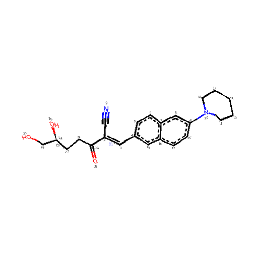 N#C/C(=C\c1ccc2cc(N3CCCCC3)ccc2c1)C(=O)CC[C@H](O)CO